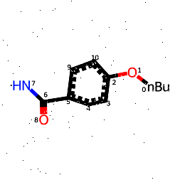 CCCCOc1ccc(C([NH])=O)cc1